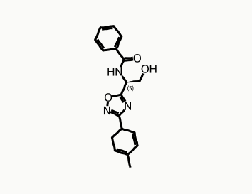 CC1=CCC(c2noc([C@H](CO)NC(=O)c3ccccc3)n2)C=C1